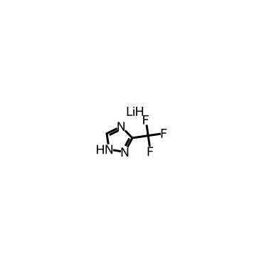 FC(F)(F)c1nc[nH]n1.[LiH]